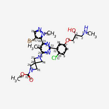 CNC[C@@H](O)COc1ccc(Cl)c(-c2nc(-c3c(Br)cnn3C)c(C)c(N3CC4(CN(C(=O)OC)C4)C3)n2)c1